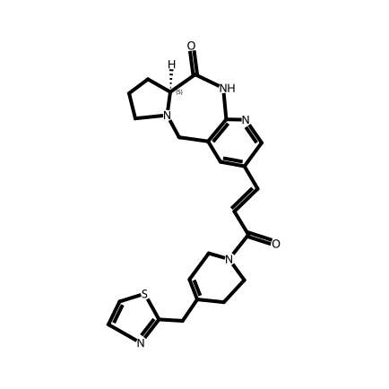 O=C1Nc2ncc(C=CC(=O)N3CC=C(Cc4nccs4)CC3)cc2CN2CCC[C@@H]12